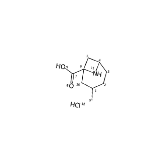 CC1CCC2CC(C(=O)O)(C1)N2.Cl